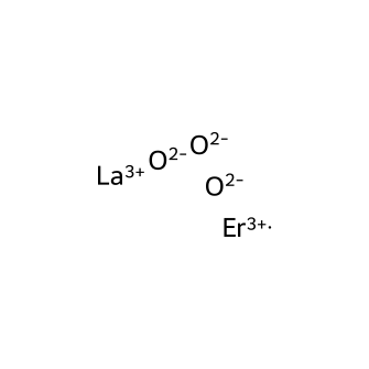 [Er+3].[La+3].[O-2].[O-2].[O-2]